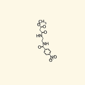 COC(=O)CC(=O)NCCNC(=O)c1ccc([N+](=O)[O-])cc1